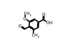 COc1cc(C(=O)O)cc(C)c1C=O